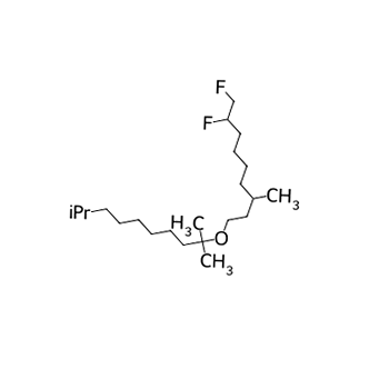 CC(C)CCCCCCC(C)(C)OCCC(C)CCCCC(F)CF